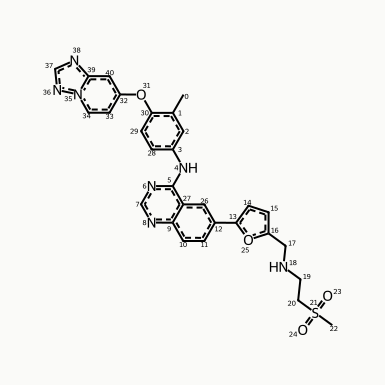 Cc1cc(Nc2ncnc3ccc(-c4ccc(CNCCS(C)(=O)=O)o4)cc23)ccc1Oc1ccn2ncnc2c1